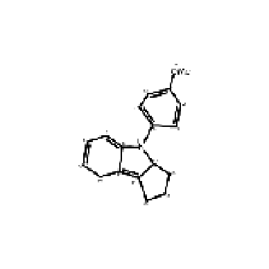 COc1ccc(N2C3=CC=CCC3=C3CCCC32)cc1